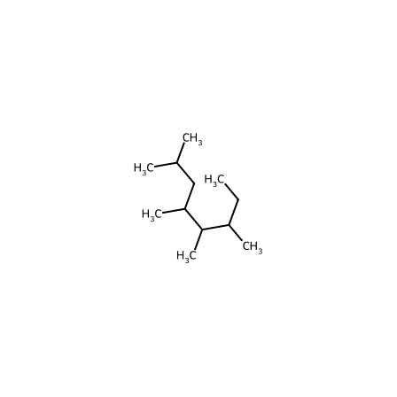 CCC(C)C(C)C(C)CC(C)C